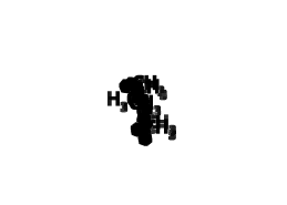 CC1(C)c2cc(C3=CCC(c4ccc5c(c4)C(C)(C)c4cc(-c6ccccc6)c6ccccc6c4-5)O3)ccc2-c2cc3c(cc21)-c1c(ccc2ccccc12)C3(C)C